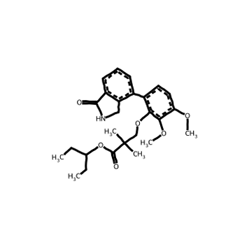 CCC(CC)OC(=O)C(C)(C)COc1c(-c2cccc3c2CNC3=O)ccc(OC)c1OC